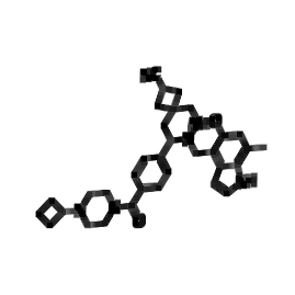 COc1cc(C)c2[nH]ccc2c1CN1CCC2(CC(C#N)C2)CC1c1ccc(C(=O)N2CCN(C3CCC3)CC2)cc1